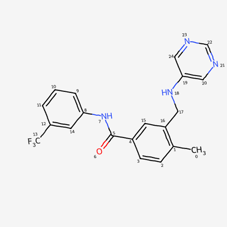 Cc1ccc(C(=O)Nc2cccc(C(F)(F)F)c2)cc1CNc1cncnc1